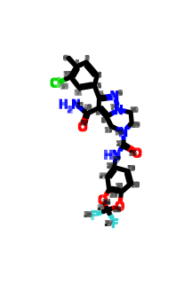 Cc1ccc(-c2nn3c(c2C(N)=O)CN(C(=O)Nc2ccc4c(c2)OC(F)(F)O4)CC3)cc1Cl